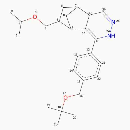 CC(C)OCC1CC2CC1C1=C(c3ccc(COC(C)(C)C)cc3)NN=CC12